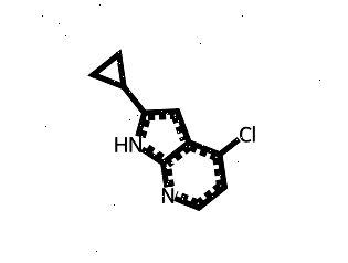 Clc1ccnc2[nH]c(C3CC3)cc12